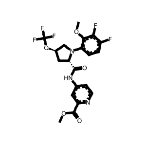 COC(=O)c1cc(NC(=O)[C@@H]2C[C@@H](OC(F)(F)F)CN2c2ccc(F)c(F)c2OC)ccn1